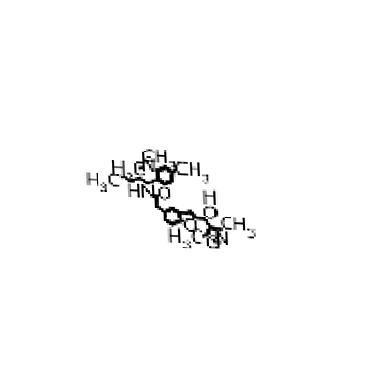 CCCCC(NC(=O)Cc1ccc2oc(C(O)c3c(C)noc3C)cc2c1)c1ccc(C)cc1N(C)C